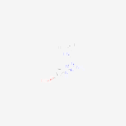 CC(C)CNCCc1nc(N)nc(Nc2cccc(SOOO)c2)n1